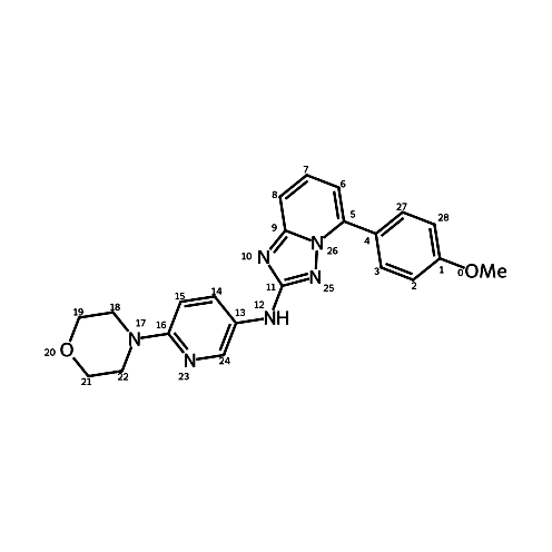 COc1ccc(-c2cccc3nc(Nc4ccc(N5CCOCC5)nc4)nn23)cc1